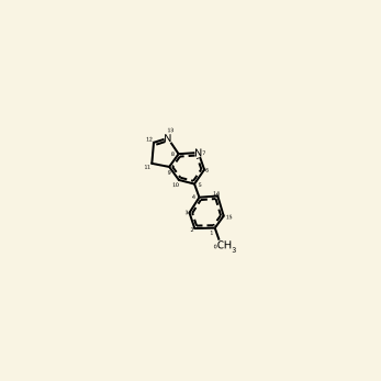 Cc1ccc(-c2cnc3c(c2)CC=N3)cc1